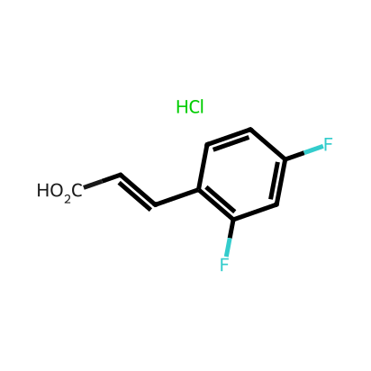 Cl.O=C(O)C=Cc1ccc(F)cc1F